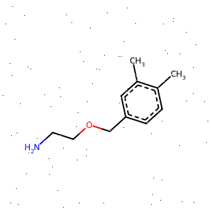 Cc1ccc(COCCN)cc1C